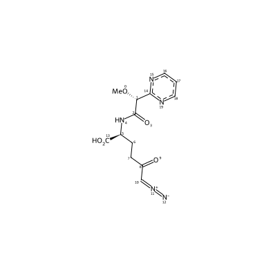 CO[C@@H](C(=O)N[C@@H](CCC(=O)C=[N+]=[N-])C(=O)O)c1ncccn1